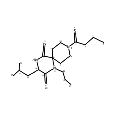 CCCC(=S)N1CCC2(CC1)C(=O)NC(CC(C)C)C(=O)N2CCC